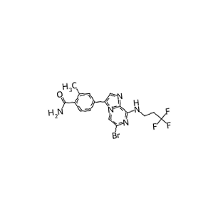 Cc1cc(-c2cnc3c(NCCC(F)(F)F)nc(Br)cn23)ccc1C(N)=O